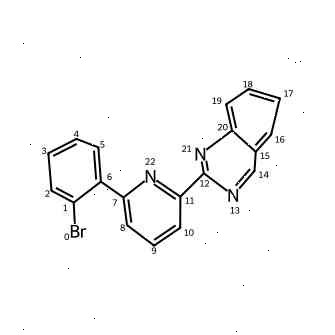 Brc1ccccc1-c1cccc(-c2ncc3ccccc3n2)n1